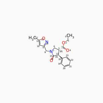 CCOC(=O)[C@H]1CN(Cc2cc(C)on2)C(=O)[C@@H]1c1ccccc1